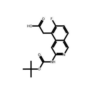 CC(C)(C)OC(=O)Nc1cc2c(CC(=O)O)c(F)ccc2cn1